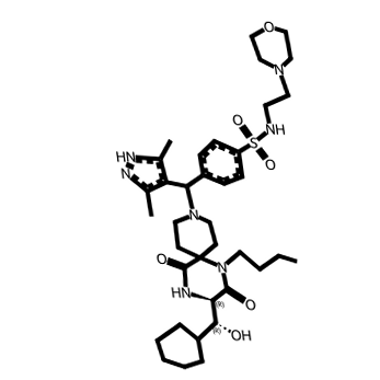 CCCCN1C(=O)[C@@H]([C@H](O)C2CCCCC2)NC(=O)C12CCN(C(c1ccc(S(=O)(=O)NCCN3CCOCC3)cc1)c1c(C)n[nH]c1C)CC2